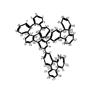 c1ccc2c(c1)-c1ccccc1-c1cccc(-c3cc(-c4ccc5c6ccccc6c6cccnc6c5c4)cc(-c4ccc5c6ccccc6c6cccnc6c5c4)c3)c1-c1ccccc1-2